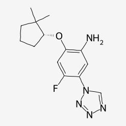 CC1(C)CCC[C@H]1Oc1cc(F)c(-n2cnnn2)cc1N